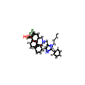 CCCCn1c(-c2ccccc2)nc(-c2ccccc2)c1CN(Cc1cccc(C(F)(F)F)c1)Cc1ccc(O)c(F)c1